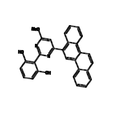 COc1cc(-c2cc3c4ccccc4ccc3c3ccccc23)nc(-c2c(O)cccc2O)n1